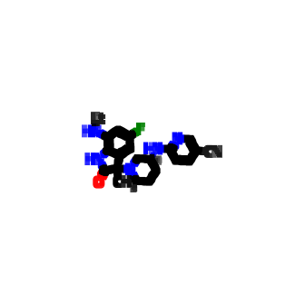 CCNc1cc(F)cc2c1NC(=O)C2(C)N1CCC[C@@H](Nc2ccc(C#N)cn2)C1